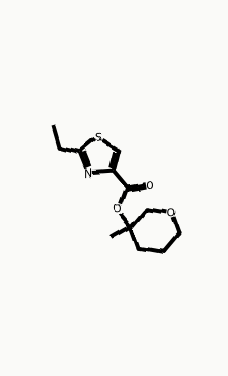 CCc1nc(C(=O)OC2(C)CCCOC2)cs1